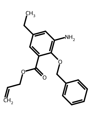 C=CCOC(=O)c1cc(CC)cc(N)c1OCc1ccccc1